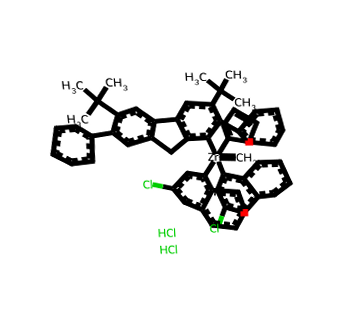 Cl.Cl.[CH2]=[Zr]([C]1=CC=CC1)([c]1c2c(cc(C(C)(C)C)c1-c1ccccc1)-c1cc(C(C)(C)C)c(-c3ccccc3)cc1C2)([c]1cc(Cl)cc2ccccc12)[c]1cc(Cl)cc2ccccc12